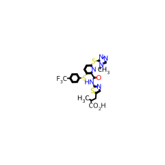 CC(Cc1cnc(NC(=O)c2nc(Sc3nncn3C)ccc2Sc2ccc(C(F)(F)F)cc2)s1)C(=O)O